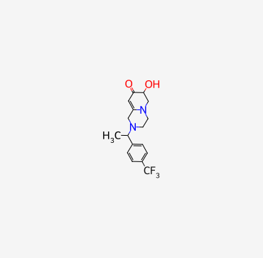 CC(c1ccc(C(F)(F)F)cc1)N1CCN2CC(O)C(=O)C=C2C1